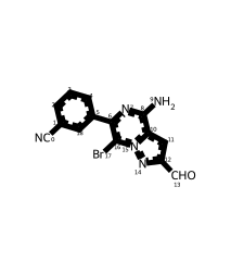 N#Cc1cccc(-c2nc(N)c3cc(C=O)nn3c2Br)c1